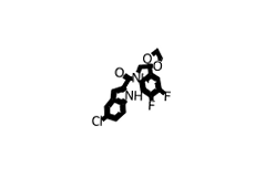 O=C(NCC1(c2ccc(F)c(F)c2)OCCO1)c1cc2cc(Cl)ccc2[nH]1